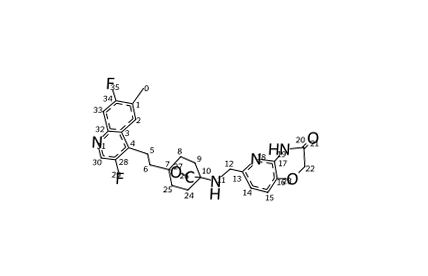 Cc1cc2c(CCC34CCC(NCc5ccc6c(n5)NC(=O)CO6)(CC3)CO4)c(F)cnc2cc1F